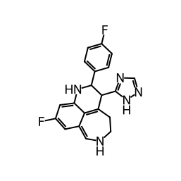 Fc1ccc(C2Nc3cc(F)cc4c3=C(CCNC=4)C2c2ncn[nH]2)cc1